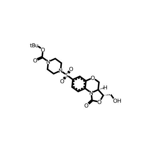 CC(C)(C)OC(=O)N1CCN(S(=O)(=O)c2ccc3c(c2)OC[C@H]2[C@H](CO)OC(=O)N32)CC1